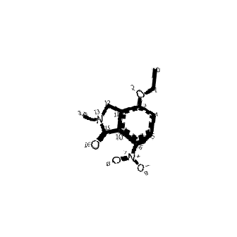 CCOc1ccc([N+](=O)[O-])c2c1CN(C)C2=O